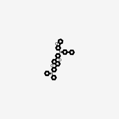 c1ccc(-c2ccc(N(c3ccc4c(c3)Oc3ccc5c6c(ccc-4c36)Oc3cc(N(c4ccccc4)c4ccccc4)ccc3-5)c3ccc4oc5ccccc5c4c3)cc2)cc1